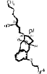 CCCCC[C@H](O)CC[C@@H]1[C@H]2Cc3cccc(OCCO)c3C[C@H]2C[C@H]1O